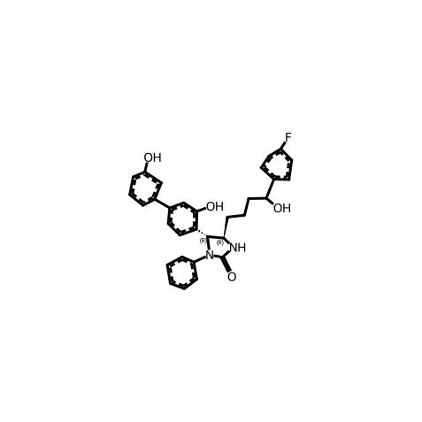 O=C1N[C@H](CCCC(O)c2ccc(F)cc2)[C@@H](c2ccc(-c3cccc(O)c3)cc2O)N1c1ccccc1